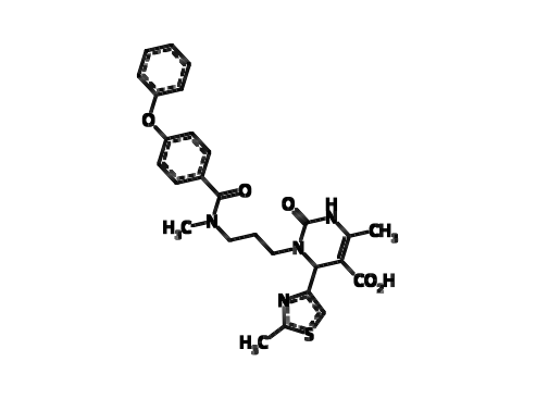 CC1=C(C(=O)O)C(c2csc(C)n2)N(CCCN(C)C(=O)c2ccc(Oc3ccccc3)cc2)C(=O)N1